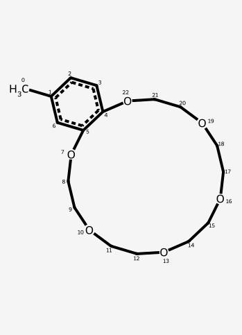 Cc1ccc2c(c1)OCCOCCOCCOCCOCCO2